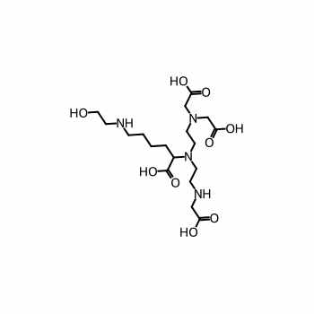 O=C(O)CNCCN(CCN(CC(=O)O)CC(=O)O)C(CCCCNCCO)C(=O)O